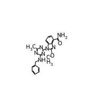 COc1nc2c(C(N)=O)cccc2n1-c1nc(C)nc(NCc2ccccc2)n1